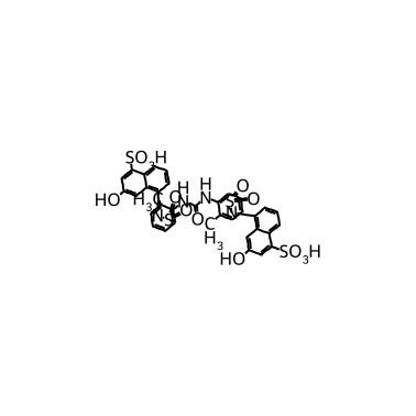 Cc1c2ccc(c1NC(=O)Nc1c3ccc(c1C)N(c1cccc4c(S(=O)(=O)O)cc(O)cc14)S3(=O)=O)S(=O)(=O)N2c1cccc2c(S(=O)(=O)O)cc(O)cc12